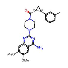 COc1cc2nc(N3CCN(C(=O)[C@@H]4C[C@H]4c4cccc(C)c4)CC3)nc(N)c2cc1OC